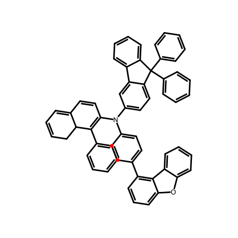 C1=CCC2C(=C1)C=CC(N(c1ccc(-c3cccc4oc5ccccc5c34)cc1)c1ccc3c(c1)-c1ccccc1C3(c1ccccc1)c1ccccc1)=C2c1ccccc1